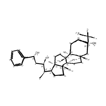 C[C@@H]([C@H](O)C[C@@H](O)c1ccccc1)[C@@H]1CC[C@H]2[C@@H]3CC[C@H]4C[C@](O)(C(F)(F)F)CC[C@]4(C)[C@H]3CC[C@]12C